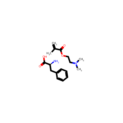 C=C(C)C(=O)OCCN(C)C.N[C@@H](Cc1ccccc1)C(=O)O